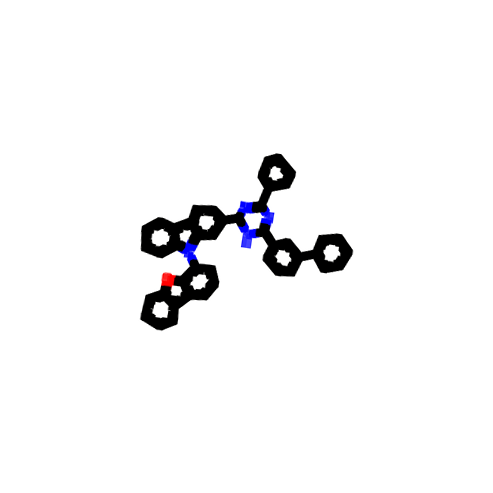 c1ccc(C2=NC(c3ccc4c5ccccc5n(-c5cccc6c5oc5ccccc56)c4c3)NC(c3cccc(-c4ccccc4)c3)=N2)cc1